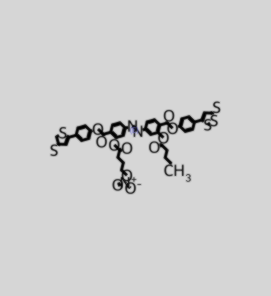 CCCCC(=O)Oc1cc(/N=N/c2ccc(C(=O)Oc3ccc(C4=CC(=S)CS4)cc3)c(OC(=O)CCCO[N+](=O)[O-])c2)ccc1C(=O)Oc1ccc(-c2cc(=S)ss2)cc1